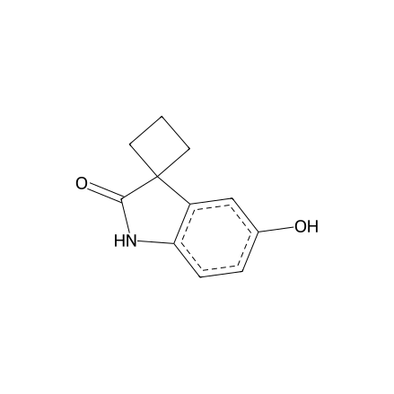 O=C1Nc2ccc(O)cc2C12CCC2